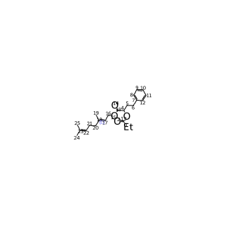 CCC(=O)OC(CCc1ccccc1)C(=O)OC/C=C(\C)CCC=C(C)C